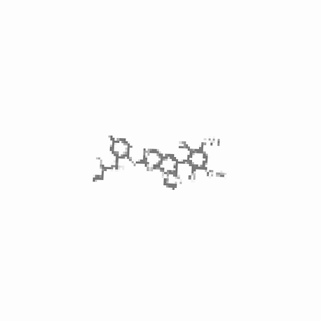 C=CC(=O)Nc1cc(F)ccc1Nc1ncc2cc(-c3c(Cl)c(OC)cc(OC)c3Cl)c3nccn3c2n1